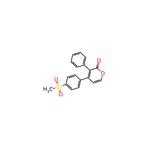 CS(=O)(=O)c1ccc(-c2ccoc(=O)c2-c2ccccc2)cc1